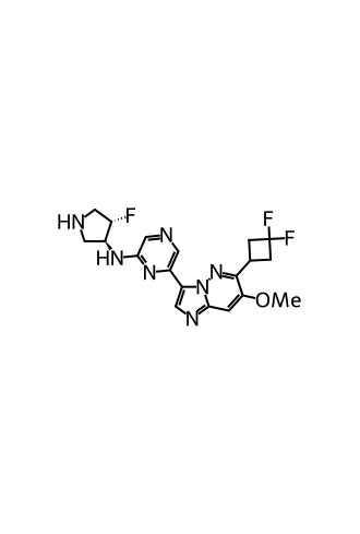 COc1cc2ncc(-c3cncc(N[C@H]4CNC[C@@H]4F)n3)n2nc1C1CC(F)(F)C1